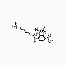 CCOc1c(C(=O)OC)ccc(NCCCCCCCC(F)(F)F)c1S(=O)(=O)N(C)C